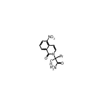 CC(C)C(C)(C(N)=O)n1ccc2c([N+](=O)[O-])cccc2c1=O